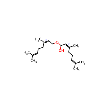 CC(C)=CCC/C(C)=C\COC(O)/C=C(/C)CCC=C(C)C